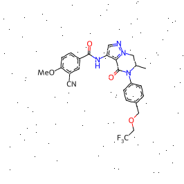 COc1ccc(C(=O)Nc2cnn3c2C(=O)N(c2ccc(COCC(F)(F)F)cc2)C(C)C3)cc1C#N